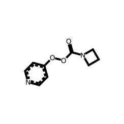 O=C(OOc1ccncc1)N1CCC1